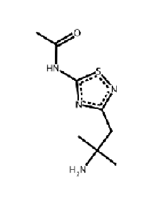 CC(=O)Nc1nc(CC(C)(C)N)ns1